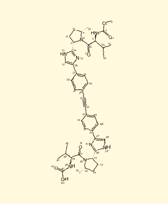 COC(=O)N[C@H](C(=O)N1[C@@H](C)CC[C@H]1c1nc(-c2ccc(C#Cc3ccc(-c4c[nH]c([C@@H]5CC[C@H](C)N5C(=O)[C@@H](NC(=O)O)C(C)C)n4)cc3)cc2)c[nH]1)C(C)C